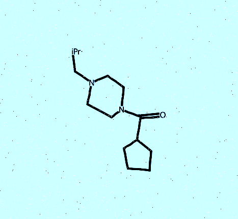 C[C](C)CN1CCN(C(=O)C2CCCC2)CC1